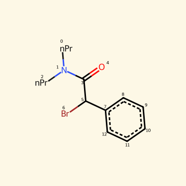 CCCN(CCC)C(=O)C(Br)c1ccccc1